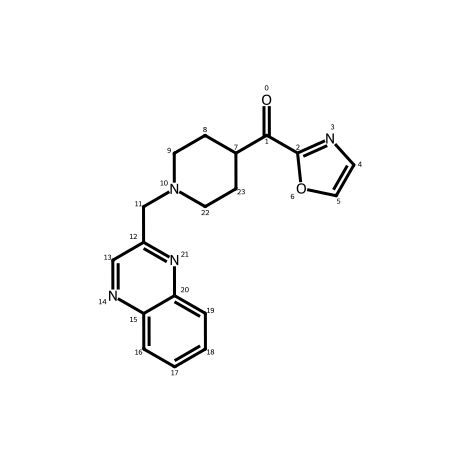 O=C(c1ncco1)C1CCN(Cc2cnc3ccccc3n2)CC1